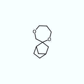 C1COCC2(CC3CCC2C3)OC1